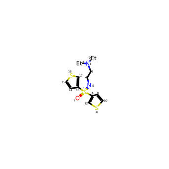 CCN(CC)CCN=S(=O)(c1ccsc1)c1ccsc1